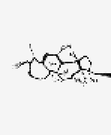 C#C[C@]1(O)CC[C@H]2[C@@H]3[C@@H](O)C=C4[C@H](F)[C@H](O)CC[C@]4(C)[C@H]3CC[C@@]21C